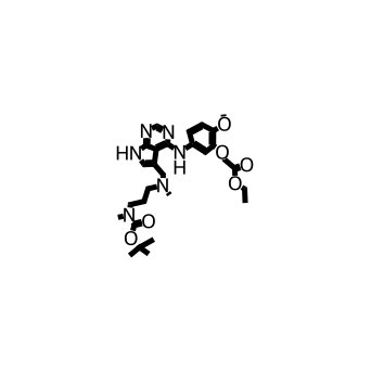 CCOC(=O)COc1cc(Nc2ncnc3[nH]cc(CN(C)CCCN(C)C(=O)OC(C)(C)C)c23)ccc1OC